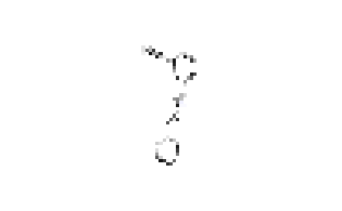 N#Cc1cccc(/C=N/OCc2ccccc2)c1